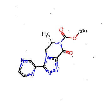 C[C@H]1Cn2c(nnc2-c2cnccn2)C(=O)N1C(=O)OC(C)(C)C